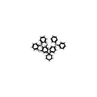 c1ccc(N(c2ccccc2)c2ccc(C3(c4cc5c6c(c4)Sc4ccccc4B6c4ccccc4O5)CCCCC3)cc2)cc1